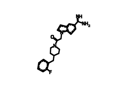 N=C(N)c1ccc2c(ccn2CC(=O)N2CCC(Cc3ccccc3F)CC2)c1